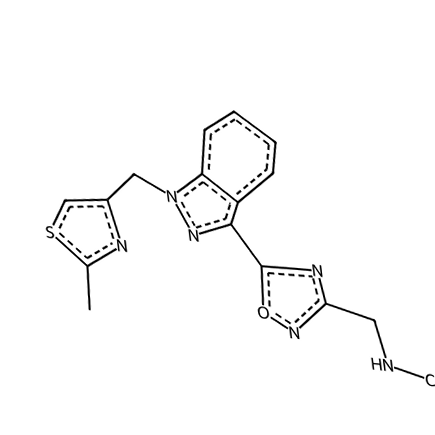 Cc1nc(Cn2nc(-c3nc(CNC(=O)O)no3)c3ccccc32)cs1